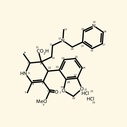 COC(=O)C1=C(C)NC(C)C(CCN(C)Cc2cccnc2)(C(=O)O)C1c1cccc2c1OCO2.Cl.Cl